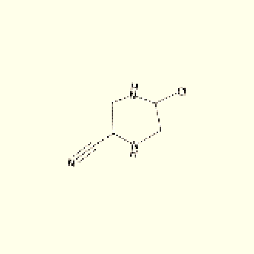 N#CC1CNC(Cl)CN1